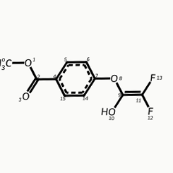 COC(=O)c1ccc(OC(O)=C(F)F)cc1